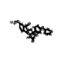 COc1ccc2c(c1)C(=O)N(C[C@@]1(c3ccc(Oc4cncnc4)cc3)NC(=O)NC1=O)C2